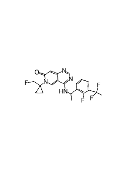 CC(Nc1ncnc2cc(=O)n(C3(CF)CC3)cc12)c1cccc(C(C)(F)F)c1F